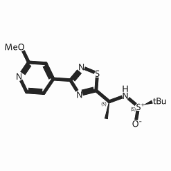 COc1cc(-c2nsc([C@H](C)N[S@+]([O-])C(C)(C)C)n2)ccn1